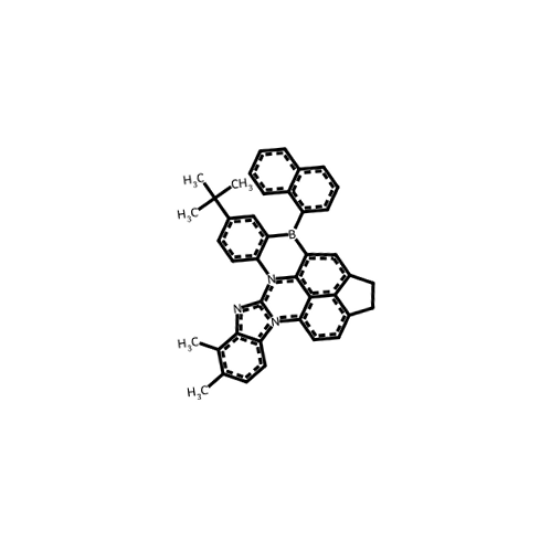 Cc1ccc2c(nc3n4c5c(cc6c7c(ccc(c75)n23)CC6)B(c2cccc3ccccc23)c2cc(C(C)(C)C)ccc2-4)c1C